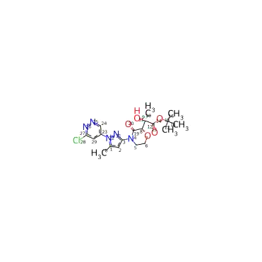 Cc1cc(N2CCO[C@H]([C@@](C)(O)C(=O)OC(C)(C)C)C2=O)nn1-c1cnnc(Cl)c1